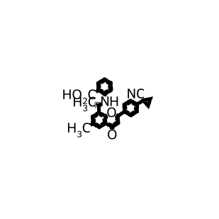 Cc1cc([C@@H](C)Nc2ccccc2C(=O)O)c2oc(-c3ccc(C4(C#N)CC4)cc3)cc(=O)c2c1